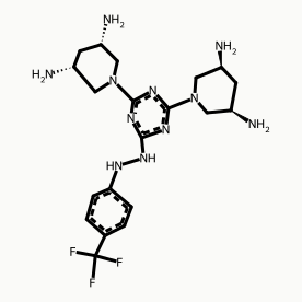 N[C@@H]1C[C@H](N)CN(c2nc(NNc3ccc(C(F)(F)F)cc3)nc(N3C[C@H](N)C[C@H](N)C3)n2)C1